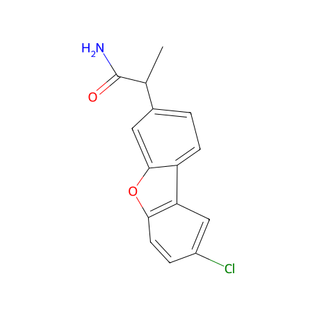 CC(C(N)=O)c1ccc2c(c1)oc1ccc(Cl)cc12